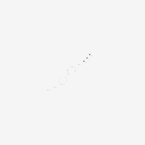 CCCC[C@H]1CC[C@H]([C@H]2CC[C@H](CCC(F)(F)C(F)(F)C(F)(F)F)CC2)CC1